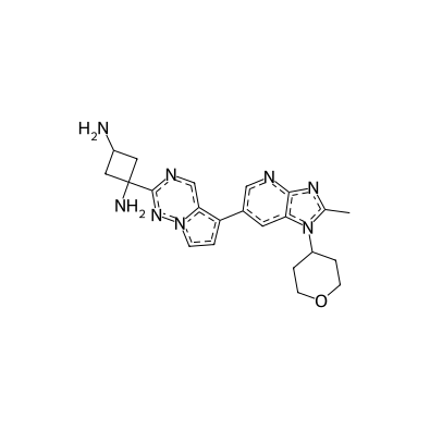 Cc1nc2ncc(-c3ccn4nc(C5(N)CC(N)C5)ncc34)cc2n1C1CCOCC1